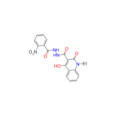 CCn1c(=O)c(C(=O)NNC(=O)c2ccccc2[N+](=O)[O-])c(O)c2ccccc21